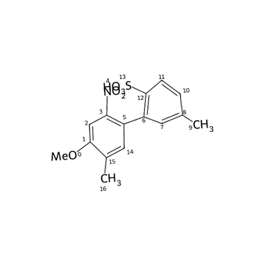 COc1cc([N+](=O)[O-])c(-c2cc(C)ccc2S(=O)(=O)O)cc1C